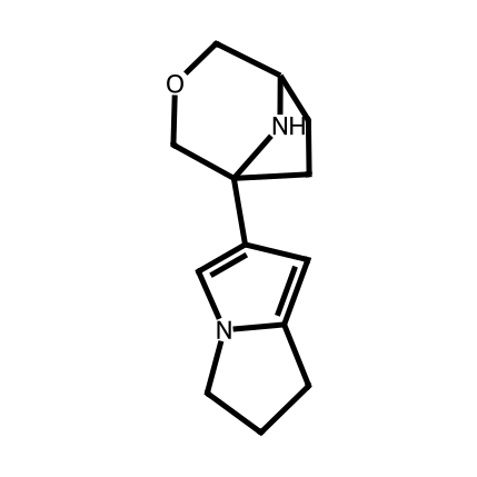 c1c(C23CCC(COC2)N3)cn2c1CCC2